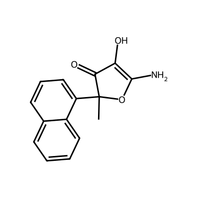 CC1(c2cccc3ccccc23)OC(N)=C(O)C1=O